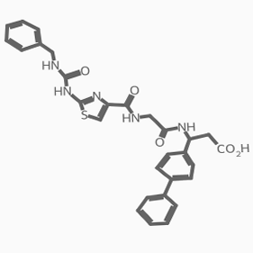 O=C(O)CC(NC(=O)CNC(=O)c1csc(NC(=O)NCc2ccccc2)n1)c1ccc(-c2ccccc2)cc1